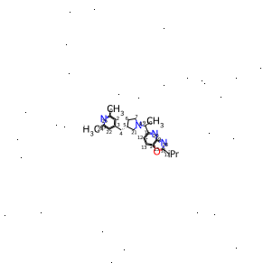 Cc1cc(C[C@@H]2CCN(C(C)c3ccc4oc(C(C)C)nc4n3)C2)cc(C)n1